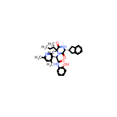 CC[C@H](C)[C@]1(C)C(=O)N[C@H](C2Cc3ccccc3C2)C(=O)N1[C@@H](C(=O)Nc1ccccc1O)c1cnc(C)cc1C